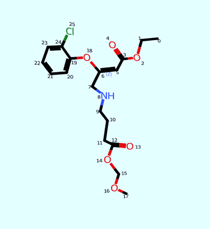 CCOC(=O)/C=C(/CNCCCC(=O)OCOC)Oc1ccccc1Cl